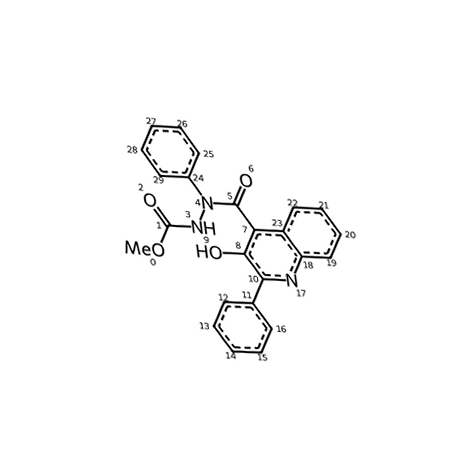 COC(=O)NN(C(=O)c1c(O)c(-c2ccccc2)nc2ccccc12)c1ccccc1